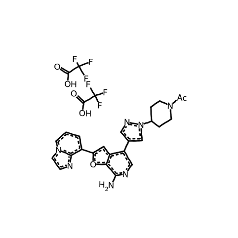 CC(=O)N1CCC(n2cc(-c3cnc(N)c4oc(-c5cccn6ccnc56)cc34)cn2)CC1.O=C(O)C(F)(F)F.O=C(O)C(F)(F)F